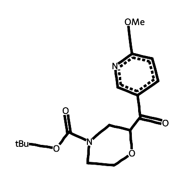 COc1ccc(C(=O)C2CN(C(=O)OC(C)(C)C)CCO2)cn1